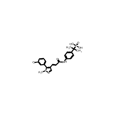 Cn1ncc(/C=C/C(=O)Nc2ccc(C(C)(C)P(=O)(O)O)cc2)c1-c1cccc(Cl)c1